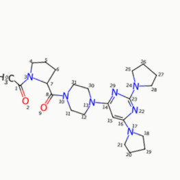 CC(=O)N1CCCC1C(=O)N1CCN(c2cc(N3CCCC3)nc(N3CCCC3)n2)CC1